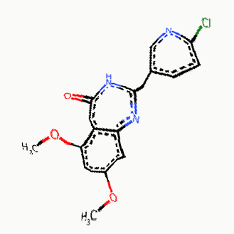 COc1cc(OC)c2c(=O)[nH]c(-c3ccc(Cl)nc3)nc2c1